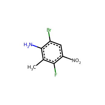 Cc1c(N)c(Br)cc([N+](=O)[O-])c1F